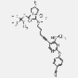 CNc1nc(Nc2ccc(C#N)cc2)ncc1C#CCCCNC(=O)[C@]1(C)C[C@H](F)CN1C(=O)OC(C)(C)C